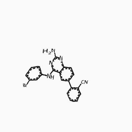 N#Cc1ccccc1-c1ccc2nc(N)nc(Nc3cccc(Br)c3)c2c1